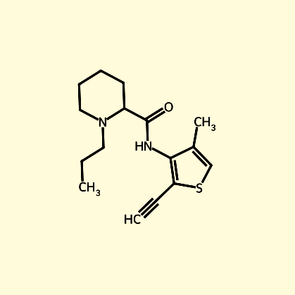 C#Cc1scc(C)c1NC(=O)C1CCCCN1CCC